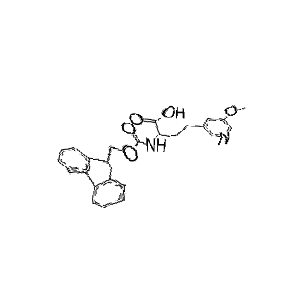 COc1cncc(CCC(NC(=O)OCC2c3ccccc3-c3ccccc32)C(=O)O)c1